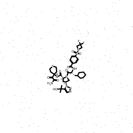 CC(C)(O)c1cnnn1[C@H]1C[C@@H](C(=O)NC2(C(=O)C(N)=O)CCSCC2)N(C(=O)[C@@H](CC2CCCCC2)NC(=O)c2ccc(S(=O)(=O)N3CC(F)(F)C3)cc2)C1